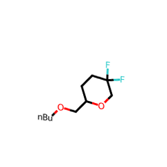 CCCCOCC1CCC(F)(F)CO1